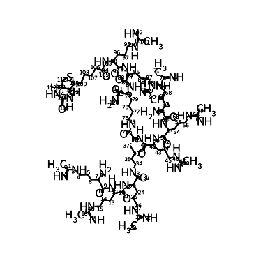 CC(=N)NCCCC(N)C(=O)NC(CCCNC(C)=N)C(=O)NC(CCCNC(C)=N)C(=O)NCCCC[C@@H](NC(=O)C(CCCNC(C)=N)NC(=O)C(CCCNC(C)=N)NC(=O)C(N)CCCNC(C)=N)C(=O)NCCCC[C@H](NC(=O)[C@H](CCCNC(C)=N)NC(=O)[C@H](CCCNC(C)=N)NC(=O)CCCC[C@@H]1SC[C@@H]2NC(=O)N[C@@H]21)C(N)=O